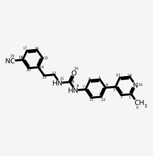 Cc1cc(-c2ccc(NC(=O)NCCc3cccc(C#N)c3)cc2)ccn1